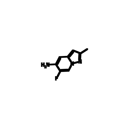 Cc1cc2cc(N)c(F)cn2n1